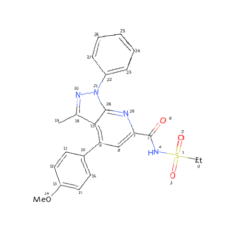 CCS(=O)(=O)NC(=O)c1cc(-c2ccc(OC)cc2)c2c(C)nn(-c3ccccc3)c2n1